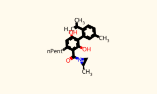 C=C(C)c1ccc(C)cc1-c1c(O)cc(CCCCC)c(C(=O)N2C[C@H]2C)c1O